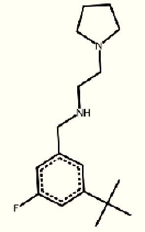 CC(C)(C)c1cc(F)cc(CNCCN2CCCC2)c1